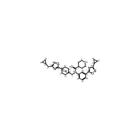 O=C(C1CCOCC1)N(CC12CCC(c3nc(CC4CC4)no3)(CC1)CC2)c1cccc(-c2nc(C3CC3)no2)c1